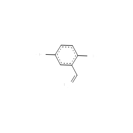 C=Cc1cc(C=O)ccc1C=O